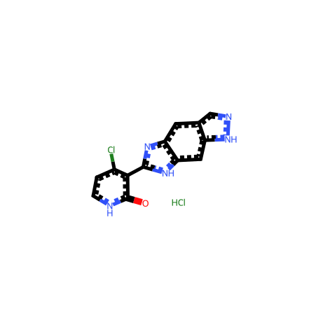 Cl.O=c1[nH]ccc(Cl)c1-c1nc2cc3cn[nH]c3cc2[nH]1